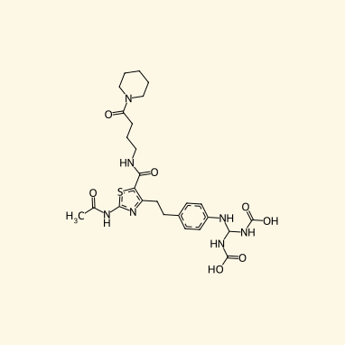 CC(=O)Nc1nc(CCc2ccc(NC(NC(=O)O)NC(=O)O)cc2)c(C(=O)NCCCC(=O)N2CCCCC2)s1